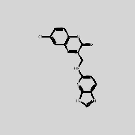 O=c1[nH]c2ccc(Cl)cc2cc1CNc1ccc2nc[nH]c2n1